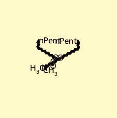 CCCCC/C=C\C/C=C\CCCCCCCCOCC(COC(=O)CCCN(C)C)OCCCCCCCC/C=C\C/C=C\CCCCC